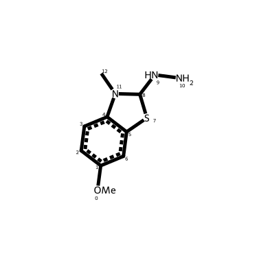 COc1ccc2c(c1)SC(NN)N2C